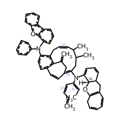 C=C/C=C\C(=C/C)N(C1=CC=CC2CC3=C(CC=CC=C3)O[C@H]12)/C1=C2\C=Cc3ccc(N(c4ccccc4)c4cccc5c4oc4ccccc45)c(c3C(=C)C2)C/C=C\C(C)C(C)C1